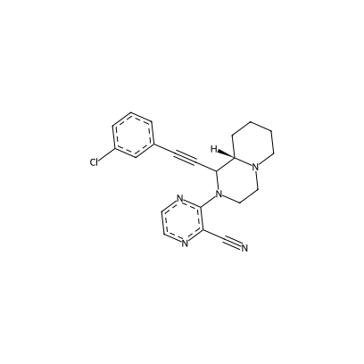 N#Cc1nccnc1N1CCN2CCCC[C@H]2C1C#Cc1cccc(Cl)c1